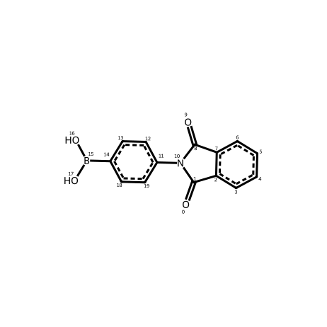 O=C1c2ccccc2C(=O)N1c1ccc(B(O)O)cc1